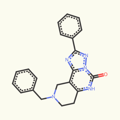 O=c1[nH]c2c(c3nc(-c4ccccc4)nn13)CN(Cc1ccccc1)CC2